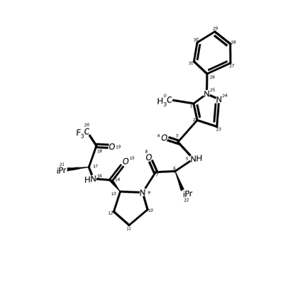 Cc1c(C(=O)N[C@H](C(=O)N2CCC[C@H]2C(=O)N[C@H](C(=O)C(F)(F)F)C(C)C)C(C)C)cnn1-c1ccccc1